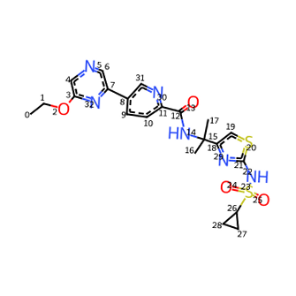 CCOc1cncc(-c2ccc(C(=O)NC(C)(C)c3csc(NS(=O)(=O)C4CC4)n3)nc2)n1